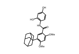 COc1cc(OC)c(C23CC4CC(CC(C4)C2)C3)cc1C(=O)Nc1ccc(O)cc1O